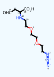 [N-]=[N+]=NCCOCCOCCNC(CC=O)C(=O)O